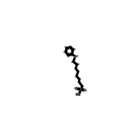 O=S(=O)(O)CCCCCCCCOc1ccccc1